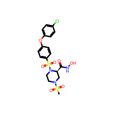 CS(=O)(=O)N1CCN(S(=O)(=O)c2ccc(Oc3ccc(Cl)cc3)cc2)[C@@H](C(=O)NO)C1